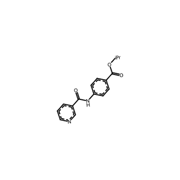 CC(C)OC(=O)c1ccc(NC(=O)c2cccnc2)cc1